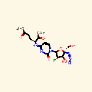 COC(=O)CC[C@H](Nc1ccn(C2O[C@@](CO)(N=[N+]=[N-])C(O)[C@@H]2F)c(=O)n1)C(=O)OC